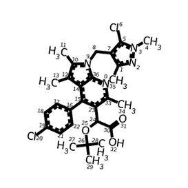 Cc1nn(C)c(Cl)c1Cn1c(C)c(C)c2c(-c3ccc(Cl)cc3)c(C(OC(C)(C)C)C(=O)O)c(C)nc21